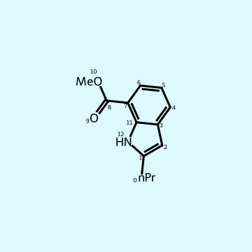 CCCc1cc2cccc(C(=O)OC)c2[nH]1